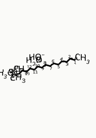 CCCCCCCCCCCCCCCC[N+](C)(C)C.O.[OH-]